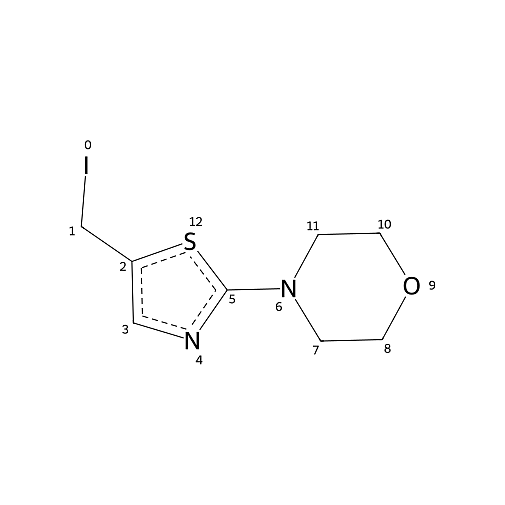 ICc1cnc(N2CCOCC2)s1